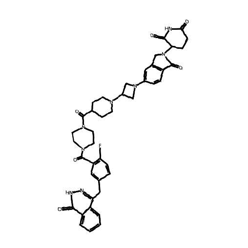 O=C1CCC(N2Cc3cc(N4CC(N5CCC(C(=O)N6CCN(C(=O)c7cc(Cc8n[nH]c(=O)c9ccccc89)ccc7F)CC6)CC5)C4)ccc3C2=O)C(=O)N1